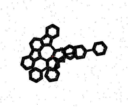 c1ccc(-c2ccc(-c3nc(-c4ccccc4)nc(-n4c5ccccc5c5ccc6c7ccccc7n(-c7cc(-c8ccccc8)ccc7-c7ccccc7)c6c54)n3)cc2)cc1